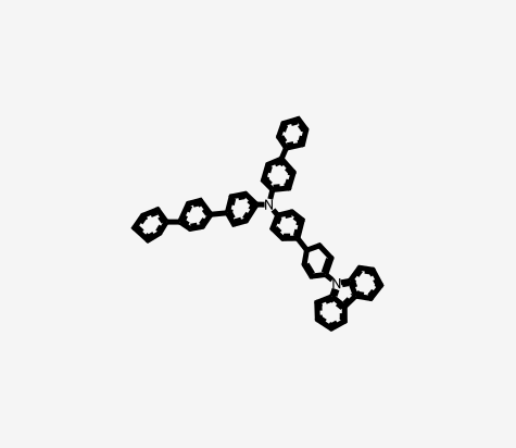 C1=CC(c2ccc(N(c3ccc(-c4ccccc4)cc3)c3ccc(-c4ccc(-c5ccccc5)cc4)cc3)cc2)CC=C1n1c2ccccc2c2ccccc21